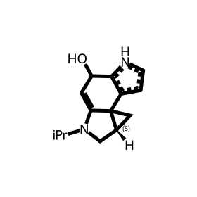 CC(C)N1C[C@H]2CC23C1=CC(O)c1[nH]ccc13